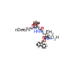 C=CC[C@@](CCCCNC(=O)CC[C@H](NC(=O)CCCCCCCCCCCCCCC)C(=O)OC(C)(C)C)(NC(=O)OCC1c2ccccc2-c2ccccc21)C(=O)O